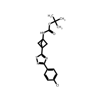 CC(C)(C)OC(=O)NC12CC(c3nc(-c4ccc(Cl)cc4)ns3)(C1)C2